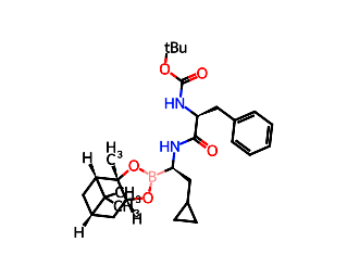 CC(C)(C)OC(=O)N[C@@H](Cc1ccccc1)C(=O)N[C@@H](CC1CC1)B1O[C@@H]2C[C@@H]3C[C@@H](C3(C)C)[C@]2(C)O1